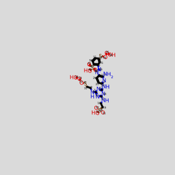 Nc1nc(Nc2nc(NCCSOOO)nc(NCCS(=O)(=O)O)n2)ccc1/N=N/c1cc(SOOO)ccc1S(=O)(=O)O